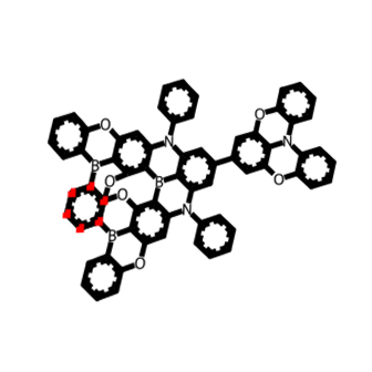 c1ccc(N2c3cc(-c4cc5c6c(c4)Oc4ccccc4N6c4ccccc4O5)cc4c3B(c3c2cc2c5c3Oc3ccccc3B5c3ccccc3O2)c2c(cc3c5c2Oc2ccccc2B5c2ccccc2O3)N4c2ccccc2)cc1